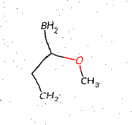 BC(C[CH2])OC